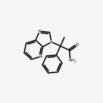 CC(C(N)=O)(c1ccccc1)n1cnc2cccnc21